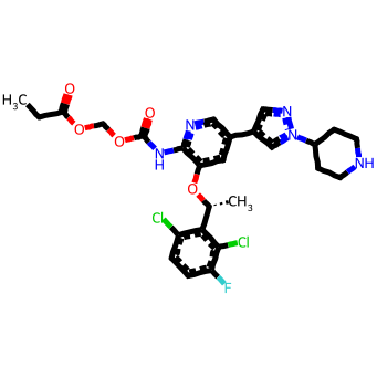 CCC(=O)OCOC(=O)Nc1ncc(-c2cnn(C3CCNCC3)c2)cc1O[C@H](C)c1c(Cl)ccc(F)c1Cl